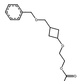 CC(=O)OCCOC1CC(COCc2ccccc2)C1